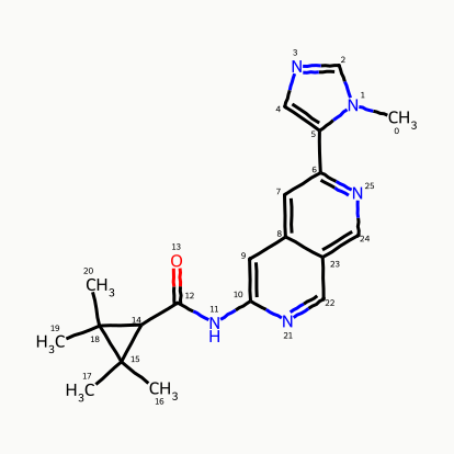 Cn1cncc1-c1cc2cc(NC(=O)C3C(C)(C)C3(C)C)ncc2cn1